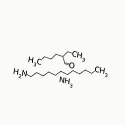 CCCCC(C=O)CC.CCCCCCCCCCCCN.N